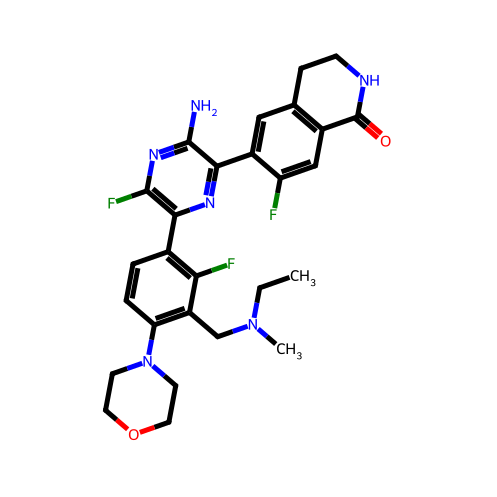 CCN(C)Cc1c(N2CCOCC2)ccc(-c2nc(-c3cc4c(cc3F)C(=O)NCC4)c(N)nc2F)c1F